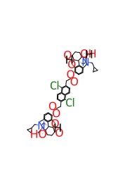 Cc1ccc(OC(=O)Cc2ccc3c(Cl)c(CC(=O)Oc4ccc5c6c4O[C@H]4C(=O)CC[C@@]7(O)[C@@H](C5)N(CC5CC5)CC[C@]647)ccc3c2Cl)c2c1[C@]13CCN(CC4CC4)[C@H](C)[C@]1(O)CCC(=O)[C@@H]3O2